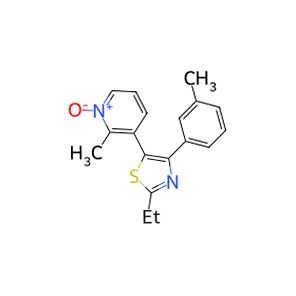 CCc1nc(-c2cccc(C)c2)c(-c2ccc[n+]([O-])c2C)s1